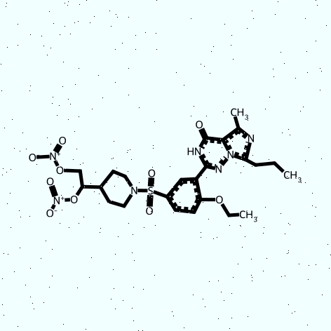 CCCc1nc(C)c2c(=O)[nH]c(-c3cc(S(=O)(=O)N4CCC(C(CO[N+](=O)[O-])O[N+](=O)[O-])CC4)ccc3OCC)nn12